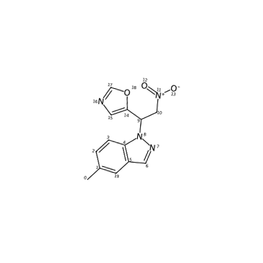 Cc1ccc2c(cnn2C(C[N+](=O)[O-])c2cnco2)c1